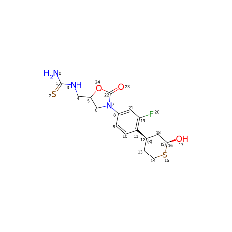 NC(=S)NCC1CN(c2ccc([C@@H]3CCS[C@H](O)C3)c(F)c2)C(=O)O1